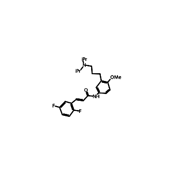 COc1ccc(NC(=O)C=Cc2cc(F)ccc2F)cc1CCCN(C(C)C)C(C)C